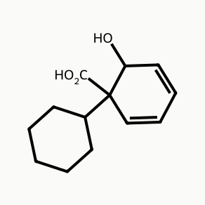 O=C(O)C1(C2CCCCC2)C=CC=CC1O